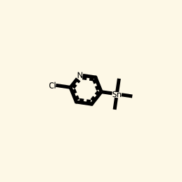 [CH3][Sn]([CH3])([CH3])[c]1ccc(Cl)nc1